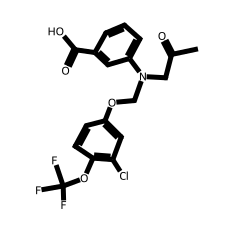 CC(=O)CN(COc1ccc(OC(F)(F)F)c(Cl)c1)c1cccc(C(=O)O)c1